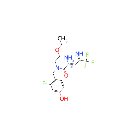 CCOCCN(Cc1ccc(O)cc1F)C(=O)/C(N)=C/C(=N)C(F)(F)F